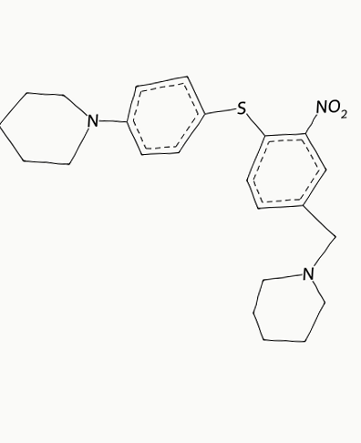 O=[N+]([O-])c1cc(CN2CCCCC2)ccc1Sc1ccc(N2CCCCC2)cc1